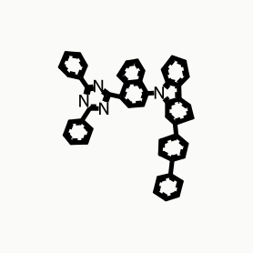 c1ccc(-c2ccc(-c3ccc4c5ccccc5n(-c5ccc(-c6nc(-c7ccccc7)nc(-c7ccccc7)n6)c6ccccc56)c4c3)cc2)cc1